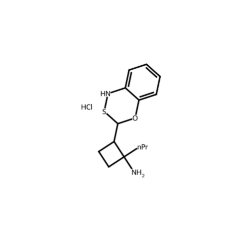 CCCC1(N)CCC1C1Oc2ccccc2NS1.Cl